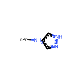 CCCN.c1cn[nH]c1